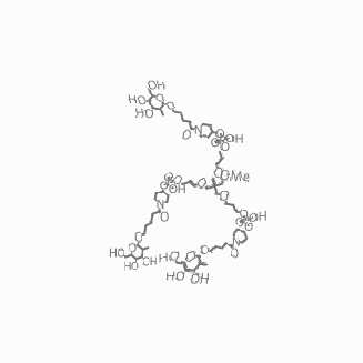 COCC(COCCCOP(=O)(O)OC1CCN(C(=O)CCCCO[C@@H]2OC(CO)[C@H](O)[C@H](O)C2C)CC1)(COCCCOP(=O)(O)OC1CCN(C(=O)CCCCO[C@@H]2OC(CO)[C@H](O)[C@H](O)C2C)CC1)COCCCOP(=O)(O)OC1CCN(C(=O)CCCCO[C@@H]2OC(CO)[C@H](O)[C@H](O)C2C)CC1